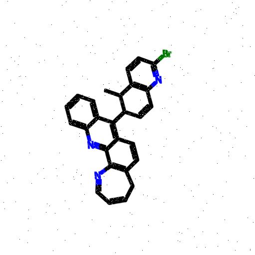 CC1c2ccc(Br)nc2C=CC1c1c2ccccc2nc2c3c(ccc12)CC=CC=N3